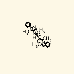 Cc1nn(-c2ccccc2)c(C)c1NC(=O)COC(=O)C(C)n1c(C)cc2ccccc21